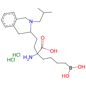 CC(C)CN1Cc2ccccc2CC1CCC(N)(CCCCB(O)O)C(=O)O.Cl.Cl